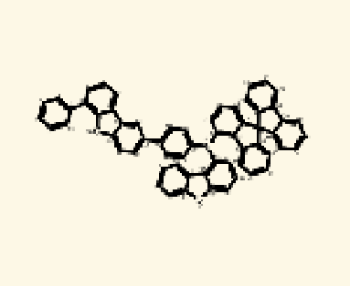 c1ccc(-c2cccc3c2oc2ccc(-c4ccc(N(c5cccc6c5-c5ccccc5C65c6ccccc6-c6ccccc65)c5cccc6sc7ccccc7c56)cc4)cc23)cc1